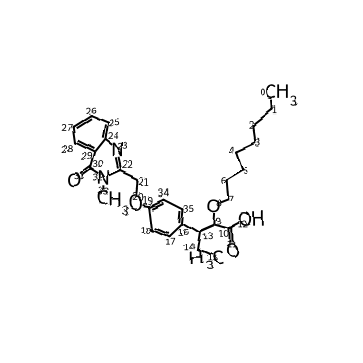 CCCCCCCCOC(C(=O)O)C(CC)c1ccc(OCc2nc3ccccc3c(=O)n2C)cc1